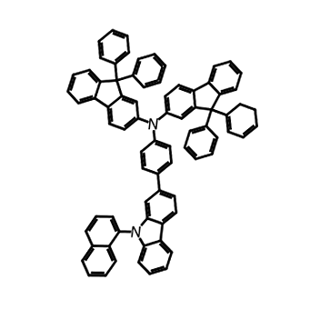 C1=C=CC(C2(c3ccccc3)c3ccccc3-c3ccc(N(c4ccc(-c5ccc6c7ccccc7n(-c7cccc8ccccc78)c6c5)cc4)c4ccc5c(c4)C(C4=CC=CCC4)(c4ccccc4)c4ccccc4-5)cc32)=CC=1